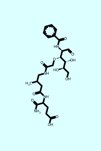 CC(CNC(=O)CO[C@@H]([C@H](O)[C@H](O)CO)[C@H](C=O)NC(=O)c1ccccc1)CC(=O)NC(CCC(=O)O)C(N)=O